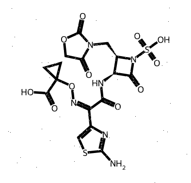 Nc1nc(C(=NOC2(C(=O)O)CC2)C(=O)N[C@@H]2C(=O)N(S(=O)(=O)O)[C@@H]2CN2C(=O)COC2=O)cs1